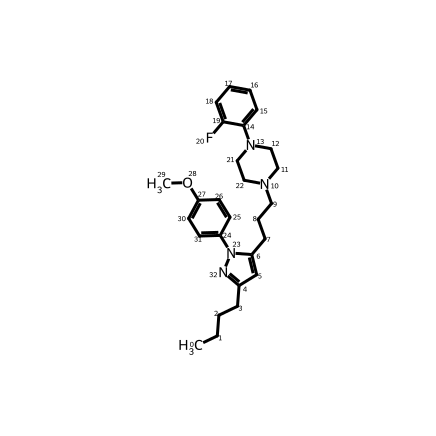 CCCCc1cc(CCCN2CCN(c3ccccc3F)CC2)n(-c2ccc(OC)cc2)n1